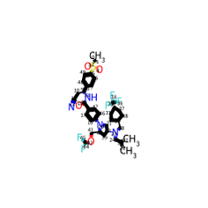 CCS(=O)(=O)c1ccc([C@H](CC#N)NC(=O)c2ccc(N3C[C@H](N(CC(C)C)C[C@H]4CC[C@H](C(F)(F)F)CC4)C[C@H]3COC(F)F)cc2)cc1